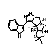 CC1(C)O[C@H]2O[C@@H]3Cn4nnc(-c5c[nH]c6ccccc56)c4[C@]3(O)[C@H]2O1